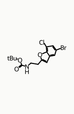 CC(C)(C)OC(=O)NCCc1cc2cc(Br)cc(Cl)c2o1